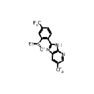 CC[S+]([O-])c1cc(C(F)(F)F)ccc1-c1nc2cc(C(F)(F)F)cnc2[nH]1